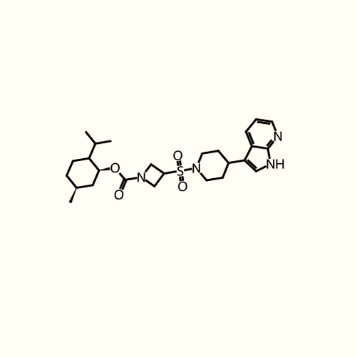 CC(C)C1CC[C@H](C)C[C@@H]1OC(=O)N1CC(S(=O)(=O)N2CCC(c3c[nH]c4ncccc34)CC2)C1